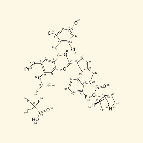 CC(C)Oc1cc([C@H](Cc2c(Cl)c[n+]([O-])cc2Cl)OC(=O)c2ccc(CN(C(=O)O[C@H]3CN4CCC3CC4)c3ccccc3F)s2)ccc1OC(F)F.O=C(O)C(F)(F)F